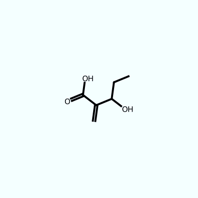 C=C(C(=O)O)C(O)CC